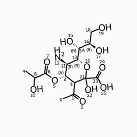 CC(=O)C1[C@H](OC(=O)C(C)O)[C@@H](N)[C@H]([C@H](O)[C@H](O)CO)OC1(O)C(=O)O